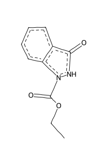 CCOC(=O)n1[nH]c(=O)c2ccccc21